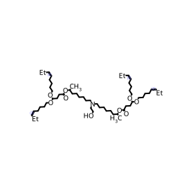 CC/C=C\CCCCOC(CCC(=O)OC(C)CCCCCCN(CCO)CCCCCCC(C)OC(=O)CCC(OCCCC/C=C\CC)OCCCC/C=C\CC)OCCCC/C=C\CC